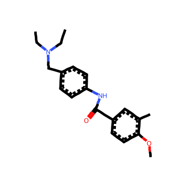 CCN(CC)Cc1ccc(NC(=O)c2ccc(OC)c(C)c2)cc1